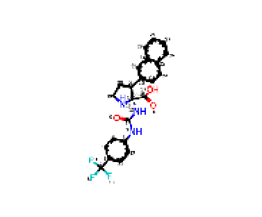 O=C(Nc1ccc(C(F)(F)F)cc1)N[C@]1(C(=O)O)NCCC1c1ccc2ccccc2c1